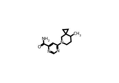 CC1CCN(c2cc(C(N)=O)ncn2)CC12CC2